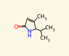 CC1=CC(=O)NC1C(C)C